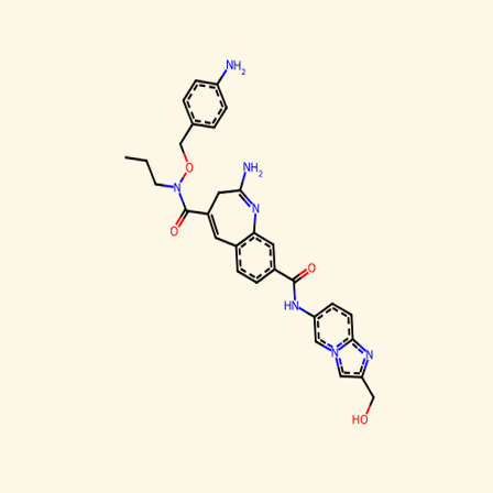 CCCN(OCc1ccc(N)cc1)C(=O)C1=Cc2ccc(C(=O)Nc3ccc4nc(CO)cn4c3)cc2N=C(N)C1